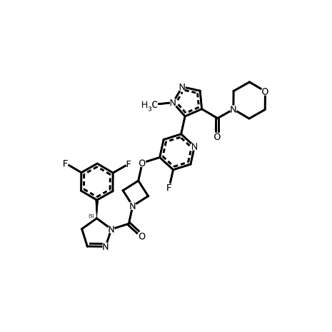 Cn1ncc(C(=O)N2CCOCC2)c1-c1cc(OC2CN(C(=O)N3N=CC[C@H]3c3cc(F)cc(F)c3)C2)c(F)cn1